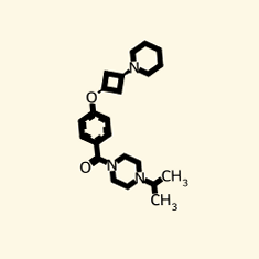 CC(C)N1CCN(C(=O)c2ccc(O[C@H]3C[C@H](N4CCCCC4)C3)cc2)CC1